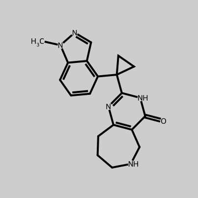 Cn1ncc2c(C3(c4nc5c(c(=O)[nH]4)CNCCC5)CC3)cccc21